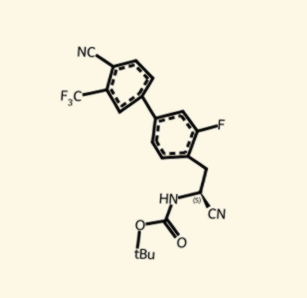 CC(C)(C)OC(=O)N[C@H](C#N)Cc1ccc(-c2ccc(C#N)c(C(F)(F)F)c2)cc1F